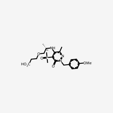 COc1ccc(Cn2nc(C)c(N[C@@H](C)COCCC(=O)O)c(P(C)(C)=O)c2=O)cc1